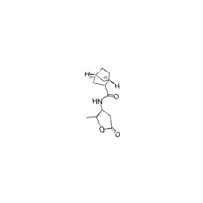 CC1OC(=O)CC1NC(=O)C1C[C@@H]2CC[C@H]1C2